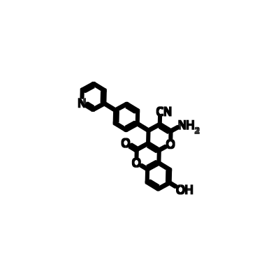 N#CC1=C(N)Oc2c(c(=O)oc3ccc(O)cc23)C1c1ccc(-c2cccnc2)cc1